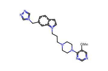 COc1cncnc1N1CCN(CCCn2ccc3ccc(Cn4cnnc4)cc32)CC1